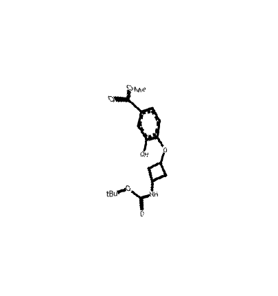 COC(=O)c1ccc(OC2CC(NC(=O)OC(C)(C)C)C2)c(O)c1